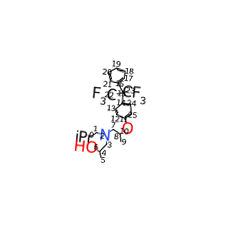 CC(C)CN(CC(C)O)CC(C)Oc1ccc(C(c2ccccc2)(C(F)(F)F)C(F)(F)F)cc1